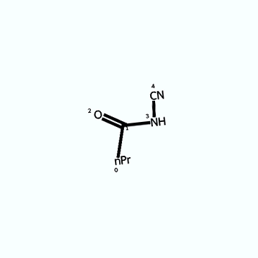 CCCC(=O)NC#N